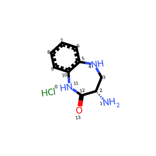 Cl.N[C@H]1CNc2ccccc2NC1=O